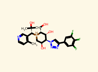 Cc1ccncc1[C@@H]([SH]1C[C@H](O)[C@H](n2cc(-c3cc(F)c(F)c(F)c3)nn2)[C@@H](O)[C@H]1CO)C(C)(C)O